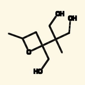 CC1CC(CO)(C(C)(CO)CO)O1